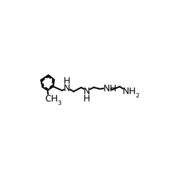 Cc1ccccc1CNCCNCCNCCN